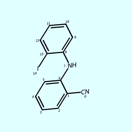 N#Cc1ccccc1Nc1ccccc1I